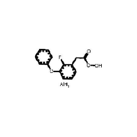 O=C(Cc1cccc(Oc2ccccc2)c1F)OO.[AlH3]